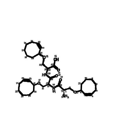 N[C@@H](COC1C#CCCCCC1)C(=O)N[C@@H](COC1C#CCCCCC1)C(=O)N[C@@H](COC1C#CCCCCC1)C(=O)O